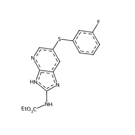 CCOC(=O)Nc1nc2cc(Sc3cccc(F)c3)cnc2[nH]1